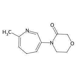 CC1=CCC=C(N2CCOCC2=O)C=N1